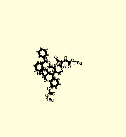 CC(C)(C)OC(=O)N[C@@H]1C(=O)N2C(C(=O)OC(c3ccccc3)c3ccccc3)=C(C(=C3CCNC3=O)c3cccc(OC(=O)OC(C)(C)C)c3)CS[C@H]12